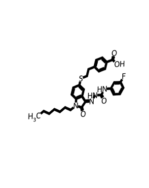 CCCCCCCN1C(=O)/C(=N/NC(=O)Nc2cccc(F)c2)c2cc(SCCc3ccc(C(=O)O)cc3)ccc21